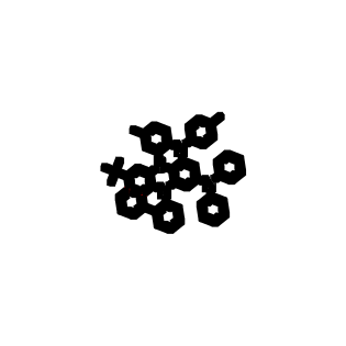 Cc1ccc(N2c3ccc(C)cc3B3c4cc(C(C)(C)C)ccc4N(c4ccccc4-c4ccccc4)c4cc(N(c5ccccc5)c5ccccc5)cc2c43)cc1